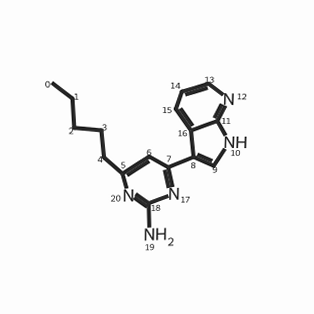 CCCCCc1cc(-c2c[nH]c3ncccc23)nc(N)n1